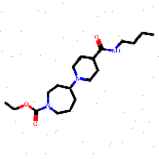 CCCCNC(=O)C1CCN(C2CCCN(C(=O)OCC)CC2)CC1